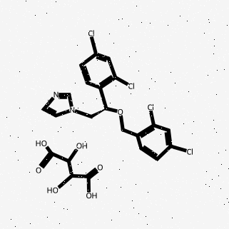 Clc1ccc(CO[C@@H](Cn2ccnc2)c2ccc(Cl)cc2Cl)c(Cl)c1.O=C(O)C(O)C(O)C(=O)O